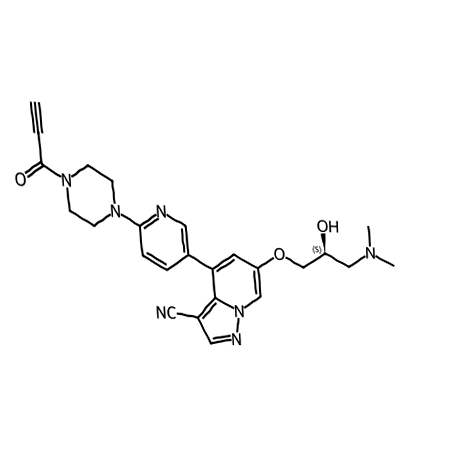 C#CC(=O)N1CCN(c2ccc(-c3cc(OC[C@@H](O)CN(C)C)cn4ncc(C#N)c34)cn2)CC1